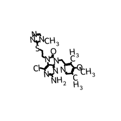 COc1c(C)cnc(Cn2c(=O)n(CCSc3nncn3C)c3c(Cl)nc(N)nc32)c1C